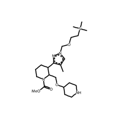 COC(=O)N1CCCC(c2nn(COCC[Si](C)(C)C)cc2C)C1COC1CCNCC1